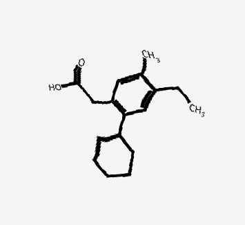 CCc1cc(C2CCCCC2)c(CC(=O)O)cc1C